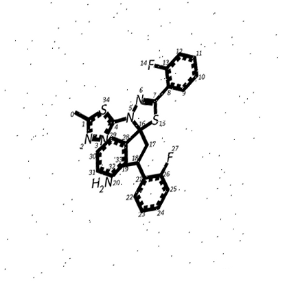 Cc1nnc(N2N=C(c3ccccc3F)SC2(CC(CN)c2ccccc2F)c2ccccc2)s1